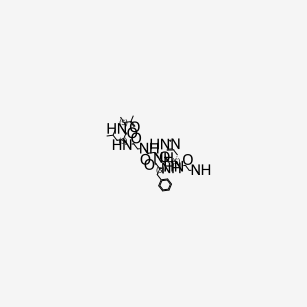 CNCC(=O)N[C@@H](Cc1c[nH]cn1)C(=O)N[C@@H](Cc1ccccc1)C(=O)NCC(=O)NCC(=O)N[C@@H](CC(C)C)C(=O)N[C@@H](C)C(C)=O